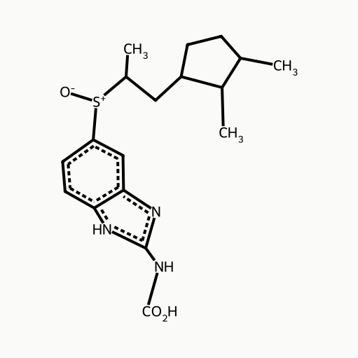 CC1CCC(CC(C)[S+]([O-])c2ccc3[nH]c(NC(=O)O)nc3c2)C1C